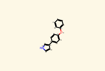 c1ccc(Oc2ccc(-c3cc[nH]c3)cc2)cc1